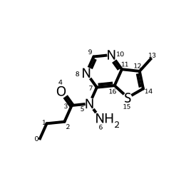 CCCC(=O)N(N)c1ncnc2c(C)csc12